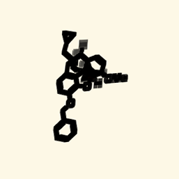 CO[C@]12C=C[C@@]3(CC1C(C)=O)[C@H]1Cc4ccc(OCc5ccccc5)c5c4[C@@]3(CCN1CC1CC1)[C@H]2O5